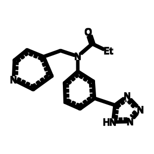 CCC(=O)N(Cc1ccncc1)c1cccc(-c2nnn[nH]2)c1